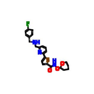 O=C(NOC1CCCCO1)c1ccc(-c2cccc(CNCc3ccc(F)cc3)n2)s1